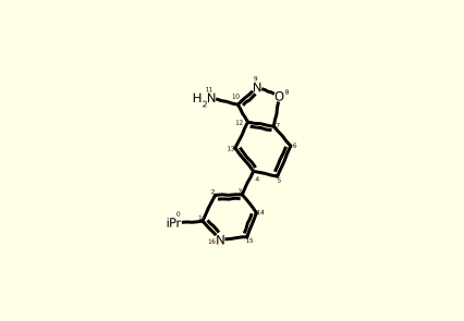 CC(C)c1cc(-c2ccc3onc(N)c3c2)ccn1